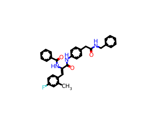 Cc1cc(F)ccc1C=C(NC(=O)c1ccccc1)C(=O)Nc1ccc(CC(=O)NCc2ccccc2)cc1